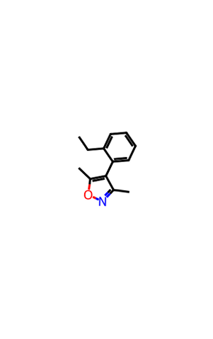 CCc1ccccc1-c1c(C)noc1C